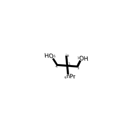 [CH2]C(CO)(CO)CCC